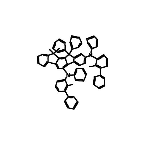 Cc1c(-c2ccccc2)cccc1N(c1ccccc1)c1ccc2c(c1)C(c1ccccc1)(c1ccccc1)c1c-2c(N(c2ccccc2)c2cccc(-c3ccccc3)c2C)cc2c1C(C)(C)c1ccccc1-2